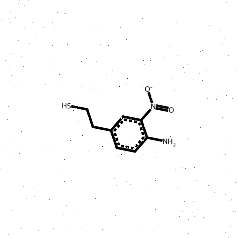 Nc1ccc(CCS)cc1[N+](=O)[O-]